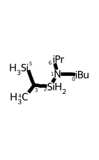 CCC(C)N([SiH2]C(C)[SiH3])C(C)C